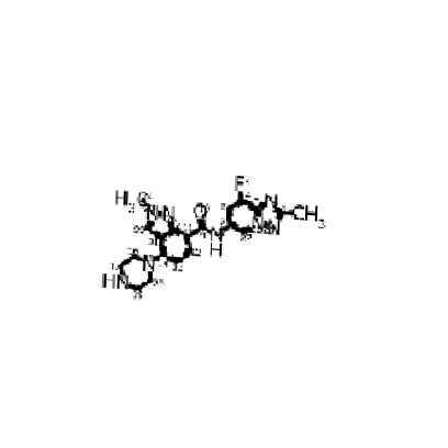 Cc1nc2c(F)cc(NC(=O)c3ccc(N4CCNCC4)c4cn(C)nc34)cn2n1